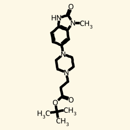 Cn1c(=O)[nH]c2ccc(N3CCN(CCC(=O)OC(C)(C)C)CC3)cc21